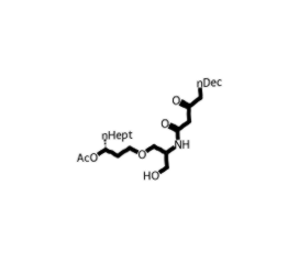 CCCCCCCCCCCC(=O)CC(=O)NC(CO)COCC[C@@H](CCCCCCC)OC(C)=O